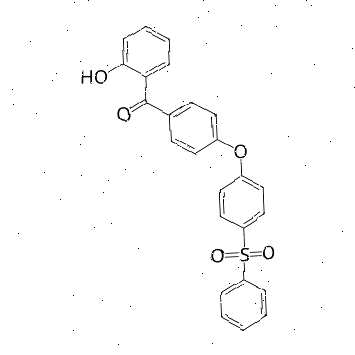 O=C(c1ccc(Oc2ccc(S(=O)(=O)c3ccccc3)cc2)cc1)c1ccccc1O